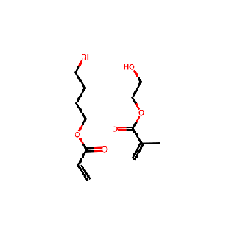 C=C(C)C(=O)OCCO.C=CC(=O)OCCCCO